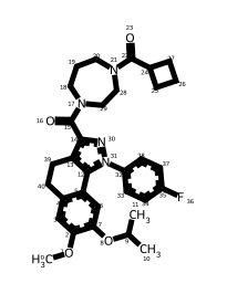 COc1cc2c(cc1OC(C)C)-c1c(c(C(=O)N3CCCN(C(=O)C4CCC4)CC3)nn1-c1ccc(F)cc1)CC2